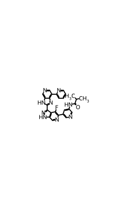 CC(C)C(=O)Nc1cncc(-c2ncc3[nH]nc(-c4nc5c(-c6ccccn6)cncc5[nH]4)c3c2F)c1